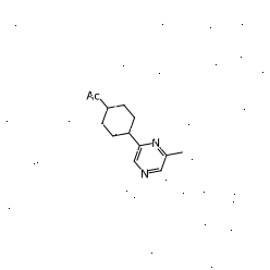 CC(=O)C1CCC(c2cncc(C)n2)CC1